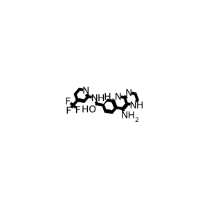 NC1=NCCN/C1=C(\N)C1=CC[C@H]([C@@H](O)NC2=NCCC(C(F)(F)F)=C2)C=C1